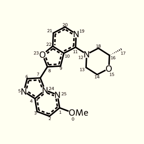 COc1ccc2ncc(-c3cc4c(N5CCO[C@@H](C)C5)nccc4o3)n2n1